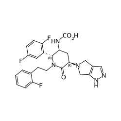 O=C(O)NC1C[C@@H](N2Cc3cn[nH]c3C2)C(=O)N(CCc2ccccc2F)[C@@H]1c1cc(F)ccc1F